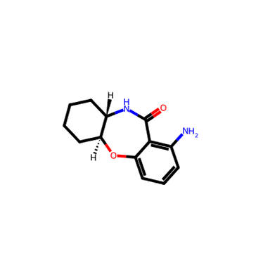 Nc1cccc2c1C(=O)N[C@H]1CCCC[C@@H]1O2